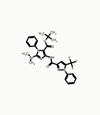 C[As](C)c1nc(NC(=O)c2cc(C(F)(F)F)n(-c3ccccc3)n2)c(C(=O)OC(C)(C)C)n1-c1ccccc1